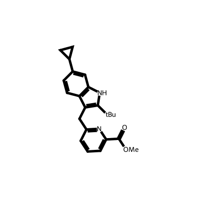 COC(=O)c1cccc(Cc2c(C(C)(C)C)[nH]c3cc(C4CC4)ccc23)n1